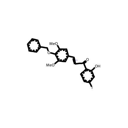 COc1cc(/C=C/C(=O)c2ccc(I)cc2O)cc(OC)c1OCc1ccccc1